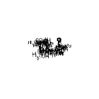 CC[C@H](C)[C@H](NC(=O)[C@@H](CCCNC(=N)N)NC(=O)[C@H](CC(C)C)NC(=O)[C@@H](NC(=O)[C@@H](NC(=O)OCc1ccccc1)[C@H](NC(=O)OC(C)(C)C)c1ccccc1)[C@H](O)C(C)C)C(=O)N[C@H](C(=O)NCC(=O)N[C@H](C(=O)N[C@@H](C)C(=O)O)[C@H](O)C(N)=O)[C@H](C)O